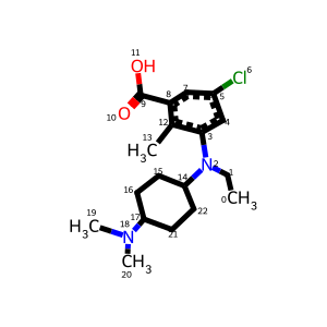 CCN(c1cc(Cl)cc(C(=O)O)c1C)C1CCC(N(C)C)CC1